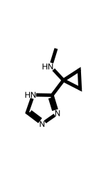 CNC1(c2nnc[nH]2)CC1